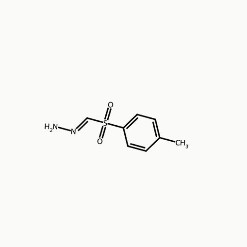 Cc1ccc(S(=O)(=O)/C=N/N)cc1